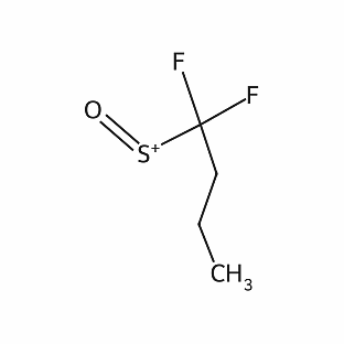 CCCC(F)(F)[S+]=O